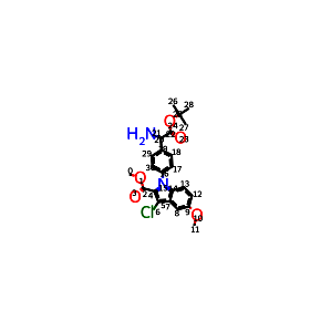 COC(=O)c1c(Cl)c2cc(OC)ccc2n1-c1ccc(C(N)C(=O)OC(C)(C)C)cc1